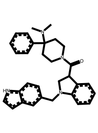 CN(C)C1(c2ccccc2)CCN(C(=O)C2CN(Cc3ccc4[nH]ccc4c3)c3ccccc32)CC1